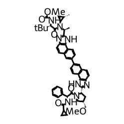 COC[C@H]1C[C@@H](c2nc3ccc4cc(-c5ccc6c(ccc7nc([C@H](C)N(C(=O)[C@@H](NC(=O)OC)C(C)(C)C)[C@@H]8C[C@@H]8C)[nH]c76)c5)ccc4c3[nH]2)N(C(=O)[C@H](NC(=O)C2CC2)c2ccccc2)C1